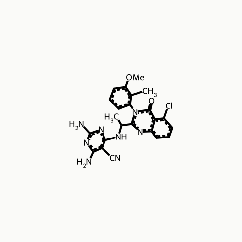 COc1cccc(-n2c(C(C)Nc3nc(N)nc(N)c3C#N)nc3cccc(Cl)c3c2=O)c1C